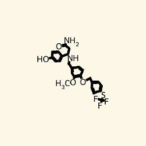 COc1cc(CNC(CC(N)=O)c2ccc(O)cc2)ccc1OCc1ccc(SC(F)(F)F)cc1